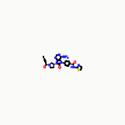 CC#CC(=O)N1CC[C@@H](n2c(=O)n(-c3ccc(C(=O)Nc4nccs4)cc3)c3c(N)ncnc32)C1